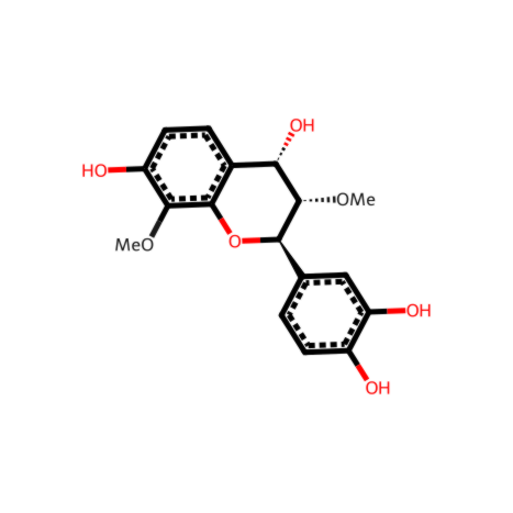 COc1c(O)ccc2c1O[C@H](c1ccc(O)c(O)c1)[C@@H](OC)[C@H]2O